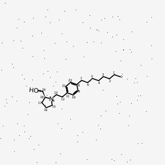 CCCCCCCCc1ccc(CCN2CCC[C@H]2CO)cc1